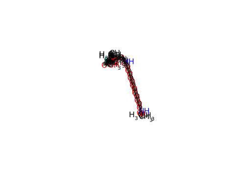 CC(C)(C)OC(=O)NCCOCCOCCOCCOCCOCCOCCOCCOCCOCCOCCOCCOCCC(=O)Nc1ccc(Oc2ccc(C3O[C@@H]4C[C@H]5[C@@H]6C[C@H](F)C7=CC(=O)C=C[C@]7(C)[C@@]6(F)[C@@H](O)C[C@]5(C)[C@]4(C(=O)CO[Si](C)(C)C(C)(C)C)O3)cc2)cc1